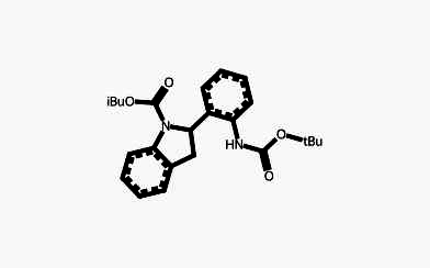 CC(C)COC(=O)N1c2ccccc2CC1c1ccccc1NC(=O)OC(C)(C)C